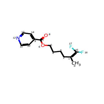 CC(CCCCOC(=O)c1ccncc1)=C(F)F